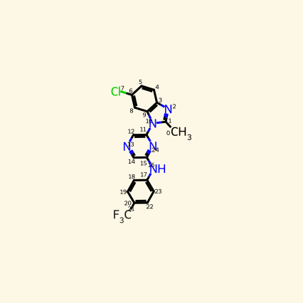 Cc1nc2ccc(Cl)cc2n1-c1cncc(Nc2ccc(C(F)(F)F)cc2)n1